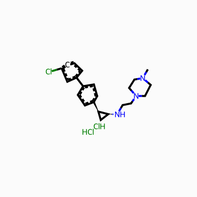 CN1CCN(CCN[C@@H]2C[C@H]2c2ccc(-c3cccc(Cl)c3)cc2)CC1.Cl.Cl